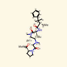 CNC(=O)[C@@H]1CCCN1C(=O)CN(C)C[C@H](C(C)C)N(C)C(=O)[C@@H](NC(=O)[C@@H](NC)C(C)(C)c1ccccc1)C(C)(C)C